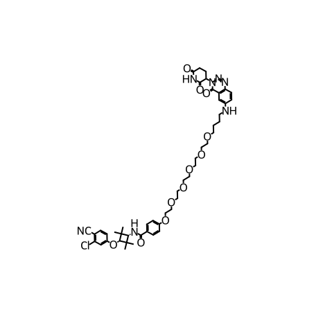 CC1(C)[C@H](NC(=O)c2ccc(OCCOCCOCCOCCOCCOCCCCNc3ccc4nnn(C5CCC(=O)NC5=O)c(=O)c4c3)cc2)C(C)(C)[C@H]1Oc1ccc(C#N)c(Cl)c1